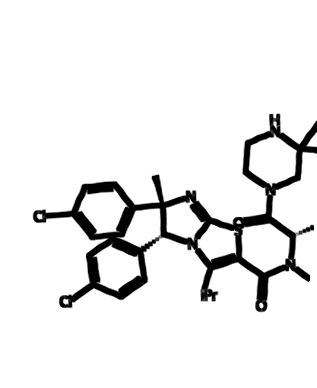 CCN(C(=O)C1=C(C(C)C)N2C(=N[C@@](C)(c3ccc(Cl)cc3)[C@H]2c2ccc(Cl)cc2)S1)[C@@H](C)C(=O)N1CCNC2(CC2)C1